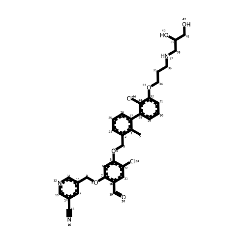 Cc1c(COc2cc(OCc3cncc(C#N)c3)c(C=O)cc2Cl)cccc1-c1cccc(OCCCNCC(O)CO)c1Cl